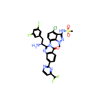 Cn1nc(NS(C)(=O)=O)c2c(Cl)ccc(-n3c([C@@H](N)Cc4cc(F)cc(F)c4)nc4cc(-c5nccc(C(F)F)n5)ccc4c3=O)c21